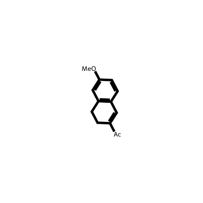 COc1ccc2c(c1)CCC(C(C)=O)=C2